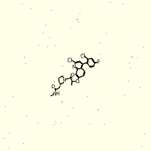 CNC(=O)C[C@H]1CCCN(C(=O)C(C)Oc2ccc3c(-c4ccc(F)cc4Cl)cc(Cl)nc3c2)C1